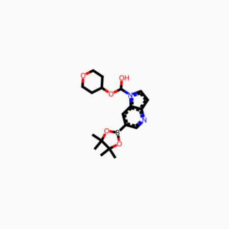 CC1(C)OB(c2cnc3ccn(C(O)OC4CCOCC4)c3c2)OC1(C)C